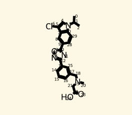 CC(C)n1cc(Cl)c2cc(-c3nc(-c4cccc(CN(C)CC(=O)O)c4)no3)ccc21